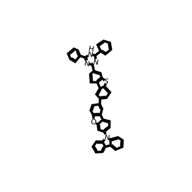 c1ccc(C2=NC(c3ccc4c(c3)sc3ccc(-c5ccc6oc7cc(-n8c9ccccc9c9ccccc98)ccc7c6c5)cc34)=NC(c3ccccc3)N2)cc1